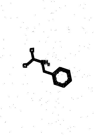 ClC(Cl)[SiH2]Cc1ccccc1